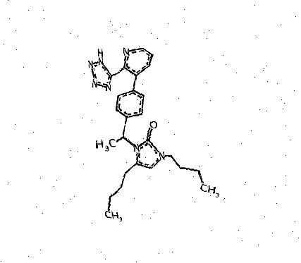 CCCCc1cn(CCCC)c(=O)n1C(C)c1ccc(-c2cccnc2-c2nnn[nH]2)cc1